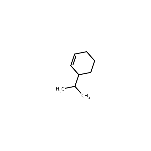 CC(C)[C]1C=CCCC1